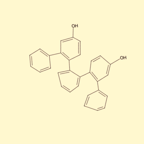 Oc1ccc(-c2ccccc2-c2ccc(O)cc2-c2ccccc2)c(-c2ccccc2)c1